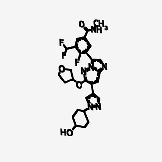 CNC(=O)c1cc(-c2cnc3cc(-c4cnn(C5CCC(O)CC5)c4)c(O[C@H]4CCOC4)nn23)c(F)c(C(F)F)c1